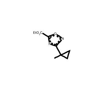 CCOC(=O)c1nc(C2(C)CC2)no1